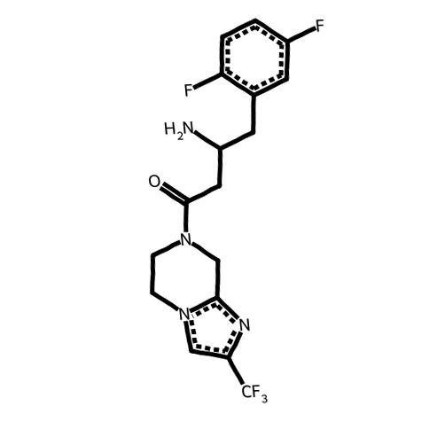 NC(CC(=O)N1CCn2cc(C(F)(F)F)nc2C1)Cc1cc(F)ccc1F